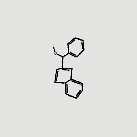 IOC(c1ccccc1)c1ccc2ccccc2c1